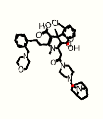 CN1C(CCc2ccccc2CN2CCOCC2)=C(C(=O)O)C(C)(c2c(Cl)cccc2Cl)C(C(=O)O)=C1CC(=O)N1CCN(C2CC3CCC(C2)N3C)CC1